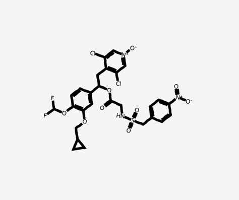 O=C(CNS(=O)(=O)Cc1ccc([N+](=O)[O-])cc1)OC(Cc1c(Cl)c[n+]([O-])cc1Cl)c1ccc(OC(F)F)c(OCC2CC2)c1